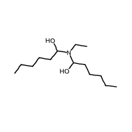 CCCCCC(O)N(CC)C(O)CCCCC